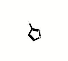 Ic1ccsn1